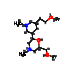 CC(C)OCCC1CC(C2CN(C)CC(COC(C)C)O2)CN(C)C1